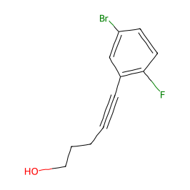 OCCCC#Cc1cc(Br)ccc1F